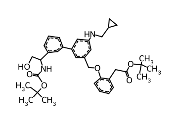 CC(C)(C)OC(=O)Cc1ccccc1OCc1cc(NCC2CC2)cc(-c2cccc(C(CO)NC(=O)OC(C)(C)C)c2)c1